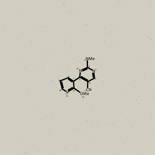 CNc1ncc(C#N)c(-c2cccnc2OC)n1